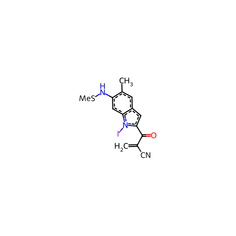 C=C(C#N)C(=O)c1cc2cc(C)c(NSC)cc2n1I